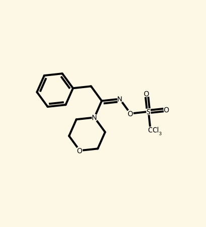 O=S(=O)(ON=C(Cc1ccccc1)N1CCOCC1)C(Cl)(Cl)Cl